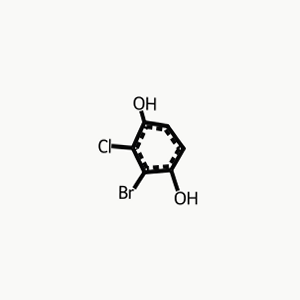 Oc1ccc(O)c(Br)c1Cl